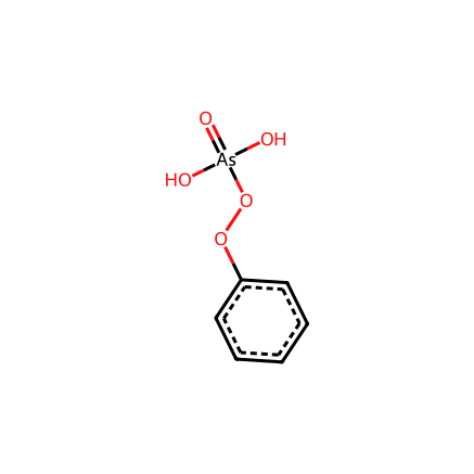 O=[As](O)(O)OOc1ccccc1